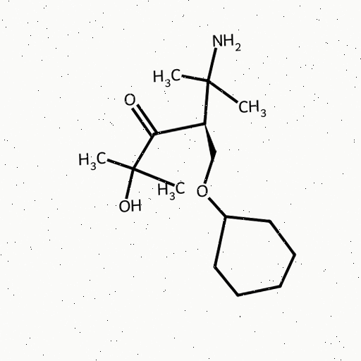 CC(C)(O)C(=O)[C@H](COC1CCCCC1)C(C)(C)N